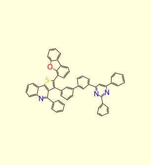 c1ccc(-c2cc(-c3cccc(-c4cccc(-c5c(-c6cccc7c6oc6ccccc67)sc6c5c(-c5ccccc5)nc5ccccc56)c4)c3)nc(-c3ccccc3)n2)cc1